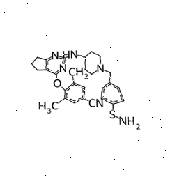 Cc1cc(C#N)cc(C)c1Oc1nc(NC2CCN(Cc3ccc(SN)cc3)CC2)nc2c1CCC2